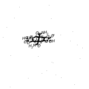 NC(=O)C12C3OC(C4OP(=O)(O)OC43)C1(C(N)=O)C1OC2C2OP(=O)(O)OC21